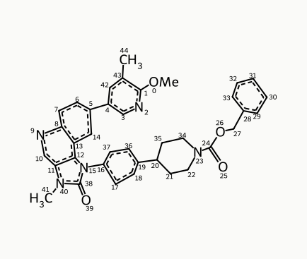 COc1ncc(-c2ccc3ncc4c(c3c2)n(-c2ccc(C3CCN(C(=O)OCc5ccccc5)CC3)cc2)c(=O)n4C)cc1C